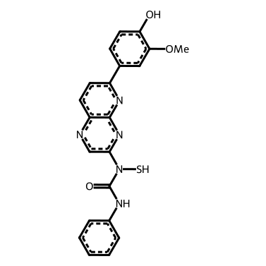 COc1cc(-c2ccc3ncc(N(S)C(=O)Nc4ccccc4)nc3n2)ccc1O